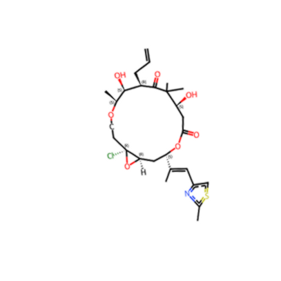 C=CC[C@H]1C(=O)C(C)(C)[C@@H](O)CC(=O)O[C@H](C(C)=Cc2csc(C)n2)C[C@H]2O[C@@]2(Cl)CCO[C@@H](C)[C@H]1O